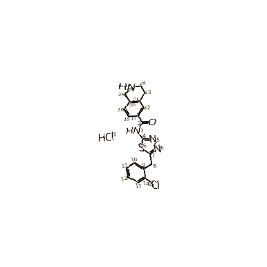 Cl.O=C(Nc1nnc(Cc2ccccc2Cl)s1)c1ccc2c(c1)CCNC2